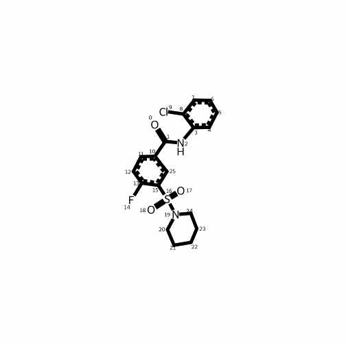 O=C(Nc1ccccc1Cl)c1ccc(F)c(S(=O)(=O)N2CCCCC2)c1